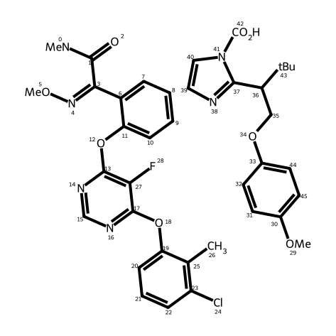 CNC(=O)C(=NOC)c1ccccc1Oc1ncnc(Oc2cccc(Cl)c2C)c1F.COc1ccc(OCC(c2nccn2C(=O)O)C(C)(C)C)cc1